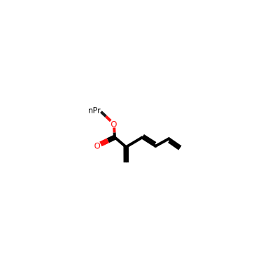 C=CC=CC(=C)C(=O)OCCC